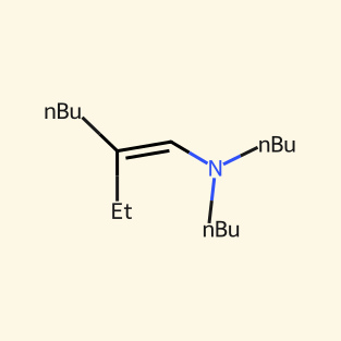 CCCCC(=CN(CCCC)CCCC)CC